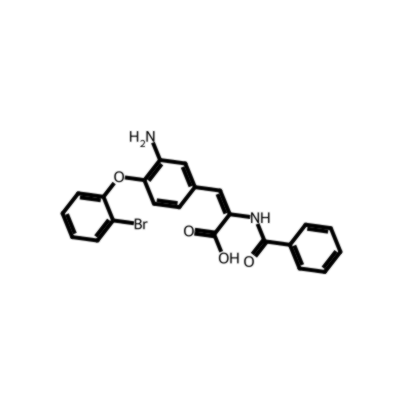 Nc1cc(/C=C(/NC(=O)c2ccccc2)C(=O)O)ccc1Oc1ccccc1Br